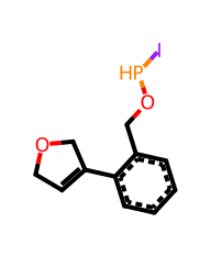 IPOCc1ccccc1C1=CCOC1